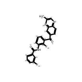 Cc1cnc2ccc(C(=O)c3cccc(NC(=O)c4cccc(F)c4)c3F)cc2n1